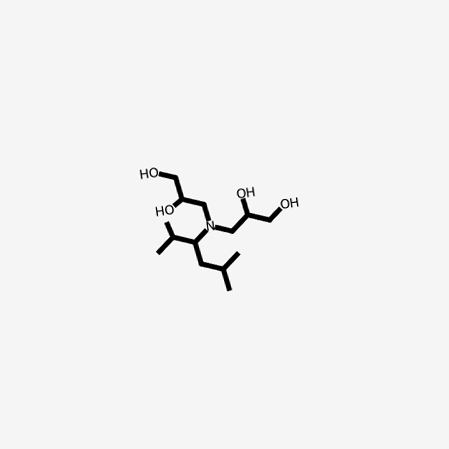 CC(C)CC(C(C)C)N(CC(O)CO)CC(O)CO